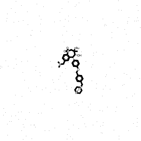 CCCCC1(C)CS(=O)(=O)c2ccc(CN(C)C)cc2[C@@H](c2ccc(OCc3ccc(C[N+]45CCN(CC4)CC5)cc3)cc2)[C@H]1O